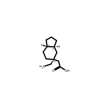 NC[C@@]1(CC(=O)O)CC[C@@H]2CCC[C@H]2C1